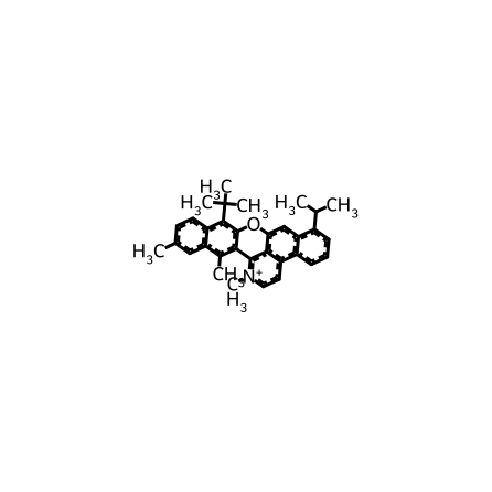 Cc1ccc2c(C(C)(C)C)c3c(c(C)c2c1)-c1c2c(cc4c(C(C)C)cccc4c2cc[n+]1C)O3